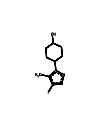 Cc1c(I)cnn1C1CCC(O)CC1